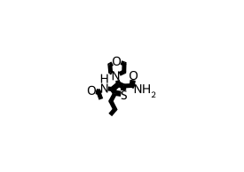 CCCc1sc(C(N)=O)c(N2CCOCC2)c1NC(C)=O